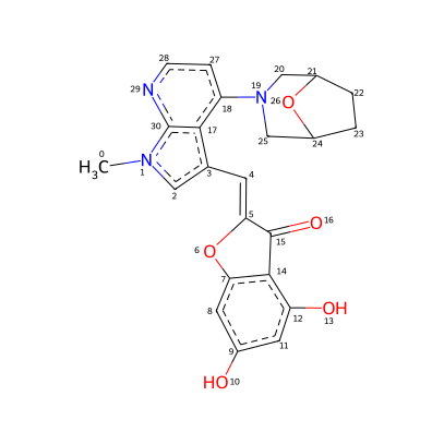 Cn1cc(/C=C2\Oc3cc(O)cc(O)c3C2=O)c2c(N3CC4CCC(C3)O4)ccnc21